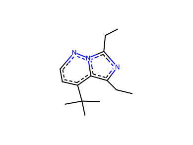 CCc1nc(CC)n2nccc(C(C)(C)C)c12